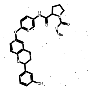 CC(C)(C)OC(=O)N1CCCC1C(=O)Nc1ccc(Oc2ccc3c(c2)CCC(c2cccc(O)c2)O3)nc1